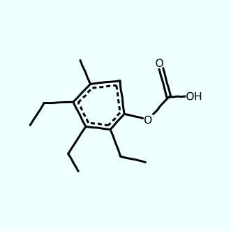 CCc1c(C)cc(OC(=O)O)c(CC)c1CC